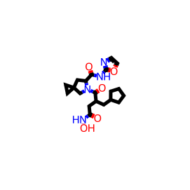 O=C(CC(CC1CCCC1)C(=O)N1CC2(CC2)CC1C(=O)Nc1ncco1)NO